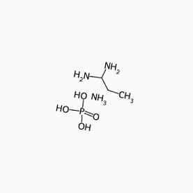 CCC(N)N.N.O=P(O)(O)O